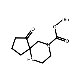 CC(C)(C)OC(=O)N1CCNC2(CCCC2=O)C1